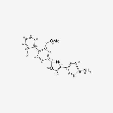 COCc1cc(-c2nc(-c3ccc(N)nc3)no2)ccc1-c1ccccc1C